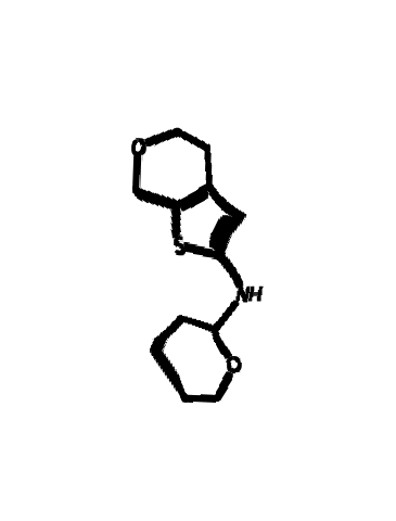 c1c(NC2CCCCO2)sc2c1CCOC2